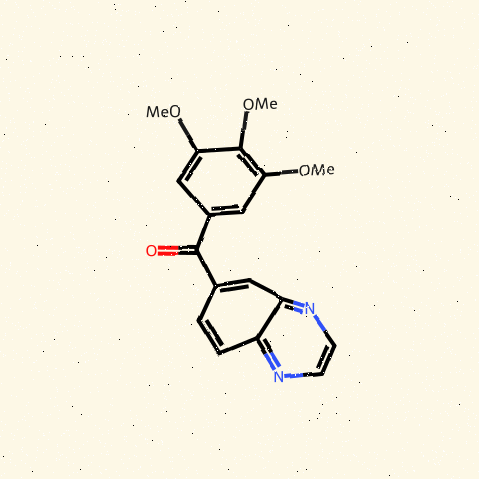 COc1cc(C(=O)c2ccc3nccnc3c2)cc(OC)c1OC